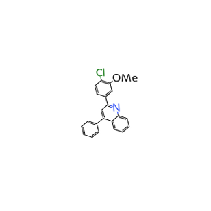 COc1cc(-c2cc(-c3ccccc3)c3ccccc3n2)ccc1Cl